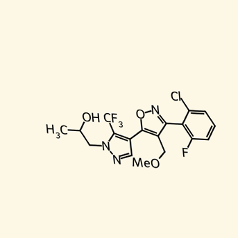 COCc1c(-c2c(F)cccc2Cl)noc1-c1cnn(CC(C)O)c1C(F)(F)F